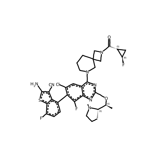 C[C@H](Oc1nc(N2CCCC3(CN(C(=O)[C@@H]4C[C@H]4F)C3)C2)c2cc(Cl)c(-c3ccc(F)c4sc(N)c(C#N)c34)c(F)c2n1)[C@@H]1CCCN1C